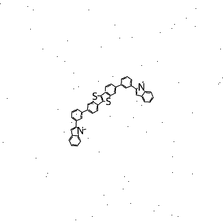 Cn1c(-c2cccc(-c3ccc4c(c3)sc3c5ccc(-c6cccc(-c7cc8ccccc8n7C)c6)cc5sc43)c2)cc2ccccc21